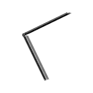 [O-2].[O-2].[O-2].[Sr+2].[Sr+2].[Sr+2].[Sr+2].[Sr+2].[Sr+2].[Sr+2].[Sr+2].[Sr+2].[Sr+2].[Sr+2].[Sr+2].[Sr+2].[Sr+2].[Sr+2].[Sr+2].[Sr+2].[Sr+2].[Sr+2].[Sr+2].[Sr+2].[Sr+2].[Sr+2].[Sr+2].[Sr+2].[Sr+2].[Sr+2].[Sr+2].[Sr+2].[Sr+2].[Sr+2].[Sr+2].[Sr+2].[Sr+2].[Sr+2].[Sr+2].[Sr+2].[Sr+2].[Sr+2].[Sr+2].[Sr+2].[Sr+2].[Sr+2].[Sr+2].[Sr+2].[Sr+2].[Sr+2].[Sr+2].[Sr+2].[Sr+2].[Sr+2].[Sr+2].[Sr+2].[Sr+2].[Sr+2].[Sr+2].[Sr+2].[Sr+2].[Sr+2].[Sr+2].[Sr+2].[Sr+2].[Sr+2].[Sr+2].[Sr+2].[Sr+2].[Sr+2].[Sr+2].[Sr+2].[Sr+2].[Sr+2].[Sr+2].[Sr+2].[Sr+2].[Sr+2].[Sr+2].[Sr+2].[Sr+2].[Sr+2].[Sr+2].[Sr+2].[Sr+2].[Sr+2].[Sr+2].[Sr+2].[Sr+2].[Sr+2].[Sr+2].[Sr+2].[Sr+2].[Sr+2].[Sr+2].[Sr+2].[Sr+2].[Sr+2]